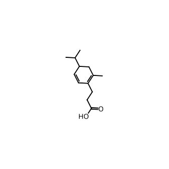 CC1=C(CCC(=O)O)C=CC(C(C)C)C1